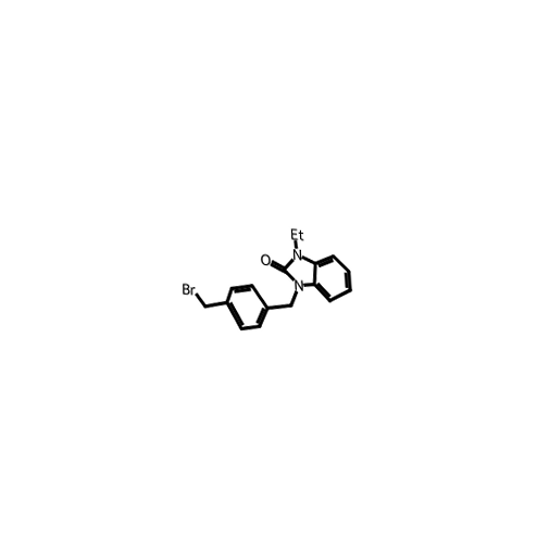 CCn1c(=O)n(Cc2ccc(CBr)cc2)c2ccccc21